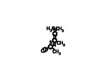 CCc1cc(N2CCOCC2)cc2[s+]c3cc(N4CCC(N(C)C)CC4)cc(C)c3nc12